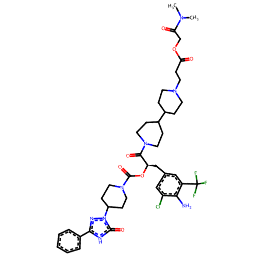 CN(C)C(=O)COC(=O)CCN1CCC(C2CCN(C(=O)[C@@H](Cc3cc(Cl)c(N)c(C(F)(F)F)c3)OC(=O)N3CCC(n4nc(-c5ccccc5)[nH]c4=O)CC3)CC2)CC1